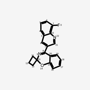 Fc1cccc2cc(C3=NC4(CCC4)Oc4ccccc43)cnc12